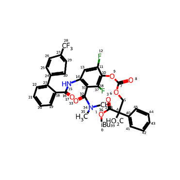 CCC(C)OC(=O)C(COC(=O)Oc1c(F)cc(NC(=O)c2ccccc2-c2ccc(C(F)(F)F)cc2)c(C(=O)N(C)C)c1F)(C(=O)O)c1ccccc1